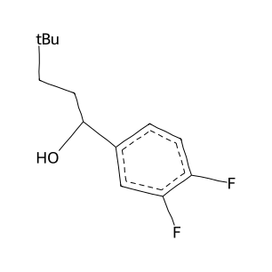 CC(C)(C)CCC(O)c1ccc(F)c(F)c1